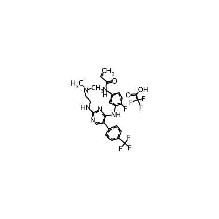 C=CC(=O)Nc1ccc(F)c(Nc2nc(NCCN(C)C)ncc2-c2ccc(C(F)(F)F)cc2)c1.O=C(O)C(F)(F)F